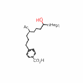 CCCCCCCC(O)CCCC(CCCc1ccc(C(=O)O)cc1)C(C)=O